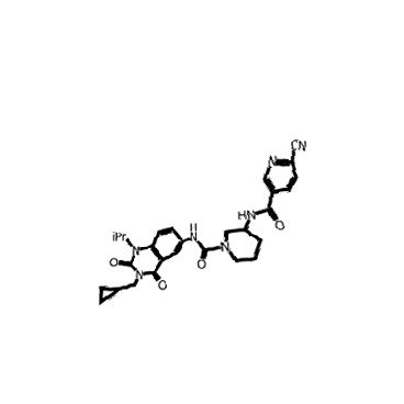 CC(C)n1c(=O)n(CC2CC2)c(=O)c2cc(NC(=O)N3CCCC(NC(=O)c4ccc(C#N)nc4)C3)ccc21